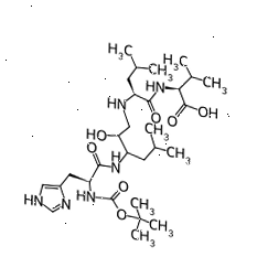 CC(C)CC(NC(=O)[C@H](Cc1c[nH]cn1)NC(=O)OC(C)(C)C)C(O)CN[C@@H](CC(C)C)C(=O)N[C@H](C(=O)O)C(C)C